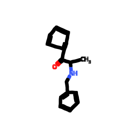 CC(NCc1ccccc1)C(=O)c1ccccc1